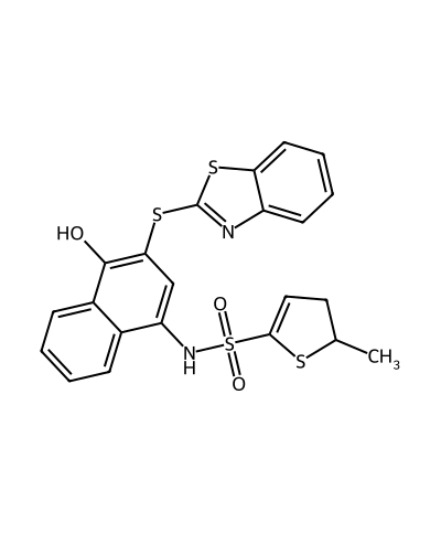 CC1CC=C(S(=O)(=O)Nc2cc(Sc3nc4ccccc4s3)c(O)c3ccccc23)S1